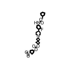 O=C(Nc1ccc(C2CCN(C3CC4(CC(OC(=O)Oc5ccc([N+](=O)[O-])cc5)C4)C3)CC2)c(F)c1)OCc1ccccc1